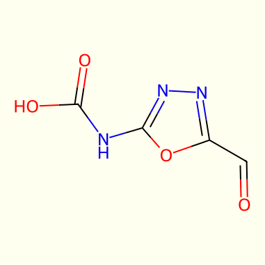 O=Cc1nnc(NC(=O)O)o1